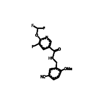 COc1ccc(C#N)cc1CNC(=O)c1cnc(OC(F)F)c(F)c1